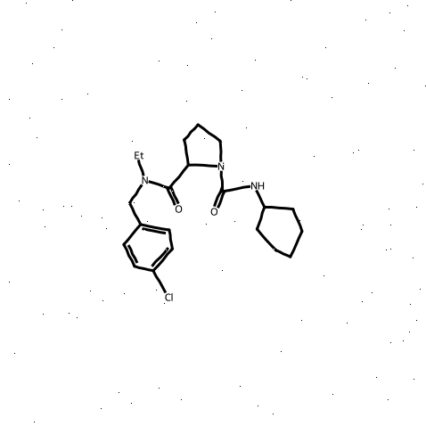 CCN(Cc1ccc(Cl)cc1)C(=O)C1CCCN1C(=O)NC1CCCCC1